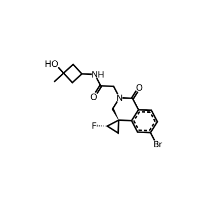 CC1(O)CC(NC(=O)CN2C[C@]3(C[C@@H]3F)c3cc(Br)ccc3C2=O)C1